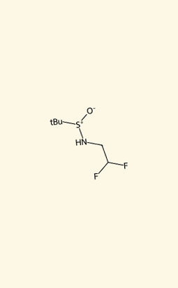 CC(C)(C)[S+]([O-])NCC(F)F